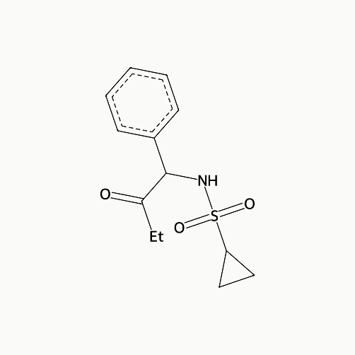 CCC(=O)C(NS(=O)(=O)C1CC1)c1ccccc1